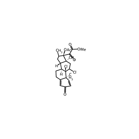 COC(=O)C(=O)[C@@]1(OC(C)=O)C(C)C[C@H]2[C@@H]3CCC4=CC(=O)C=C[C@]4(C)[C@@]3(Cl)C(Cl)C[C@@]21C